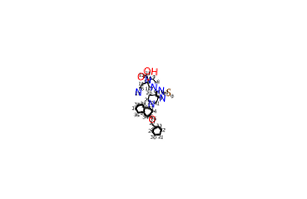 CSc1nc2c(c(N3CCN(C(=O)O)C(CC#N)C3)n1)CCN(c1cc(OCc3ccccc3)cc3ccccc13)C2